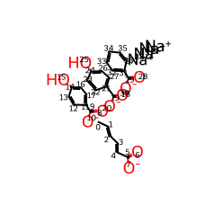 CC=CC=CC(=O)[O-].O=C([O-])c1ccc(O)cc1.O=C([O-])c1ccc(O)cc1.O=C([O-])c1ccccc1.[Na+].[Na+].[Na+].[Na+]